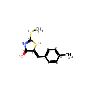 CSC1=NC(=O)C(=Cc2ccc(C)cc2)S1